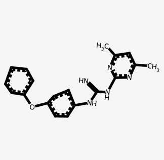 Cc1cc(C)nc(NC(=N)Nc2ccc(Oc3ccccc3)cc2)n1